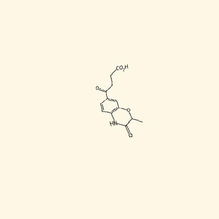 CC1Oc2cc(C(=O)CCC(=O)O)ccc2NC1=O